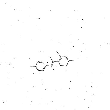 C/C(=C(/C)c1ccc(C)cc1C)c1ccc(C)cc1